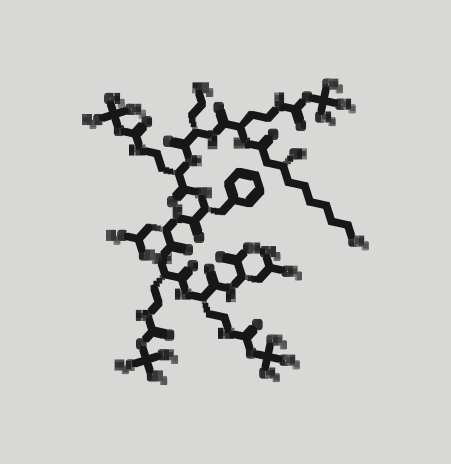 CCCCCCC[C@@H](O)CC(=O)N[C@H](CCNC(=O)OC(C)(C)C)C(=O)N[C@@H](CCN)C(=O)N[C@@H](CCNC(=O)OC(C)(C)C)C(=O)N[C@H](Cc1ccccc1)C(=O)N[C@@H](CC(C)C)C(=O)N[C@@H](CCNC(=O)OC(C)(C)C)C(=O)N[C@@H](CCNC(=O)OC(C)(C)C)C(=O)N[C@@H](CC(C)C)C(=O)O